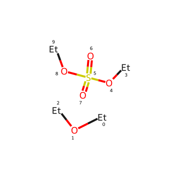 CCOCC.CCOS(=O)(=O)OCC